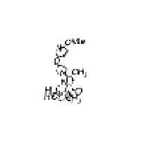 COc1ccc(OC2CCN(c3nc4c(cc3C)C(=O)N(C)[C@H]4C(C)(C)O)CC2)cn1